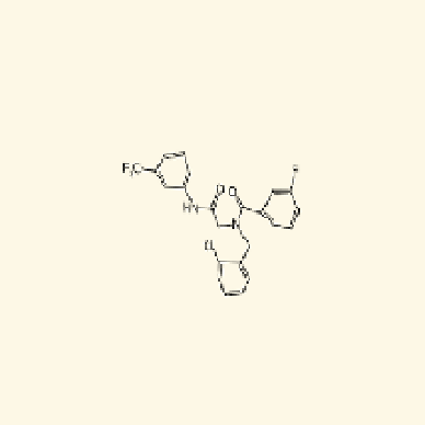 O=C(CN(Cc1ccccc1Cl)C(=O)c1cccc(F)c1)Nc1cccc(C(F)(F)F)c1